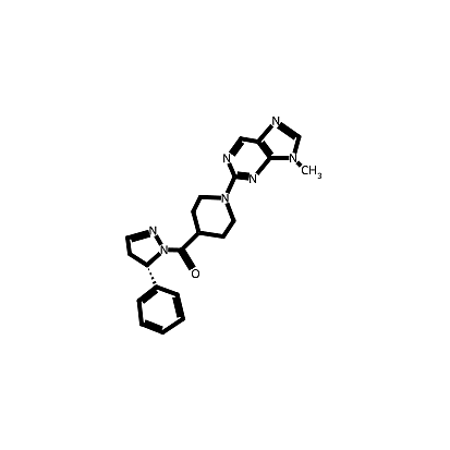 Cn1cnc2cnc(N3CCC(C(=O)N4N=CC[C@H]4c4ccccc4)CC3)nc21